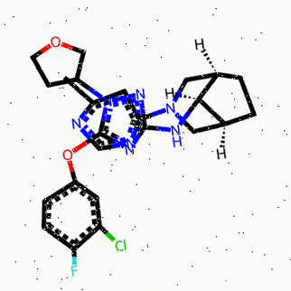 Cc1cc(N2C[C@H]3CC[C@@H](C2)[C@H]3Nc2nc(Oc3ccc(F)c(Cl)c3)n(C3CCOC3)n2)ncn1